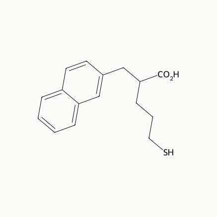 O=C(O)C(CCCS)Cc1ccc2ccccc2c1